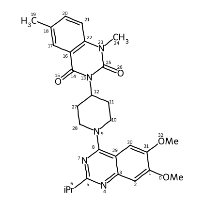 COc1cc2nc(C(C)C)nc(N3CCC(n4c(=O)c5cc(C)ccc5n(C)c4=O)CC3)c2cc1OC